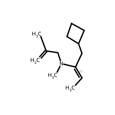 C=C(C)CN(C)/C(=C\C)CC1CCC1